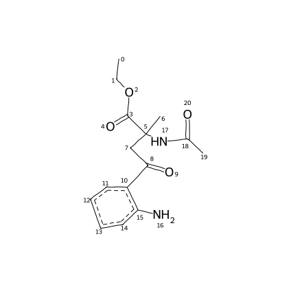 CCOC(=O)C(C)(CC(=O)c1ccccc1N)NC(C)=O